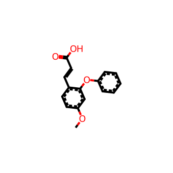 COc1ccc(/C=C/C(=O)O)c(Oc2ccccc2)c1